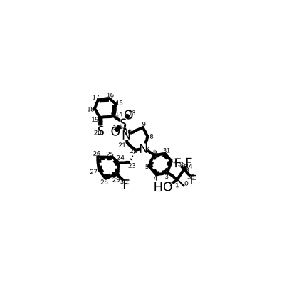 C[C@@](O)(c1ccc(N2CCN(S(=O)(=O)C3=CC=CCC3=S)C[C@H]2Cc2ccccc2F)cc1)C(F)(F)F